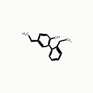 CCc1ccc(O)c(-c2ccccc2CC)c1